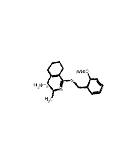 COC1C=CC=CC1CSC1=NC(C)[C@H](N)C2=C1CCCC2